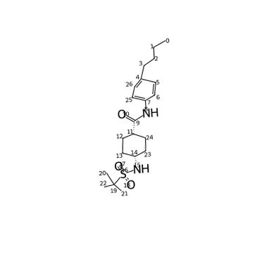 CCCCc1ccc(NC(=O)[C@H]2CC[C@@H](NS(=O)(=O)C(C)(C)C)CC2)cc1